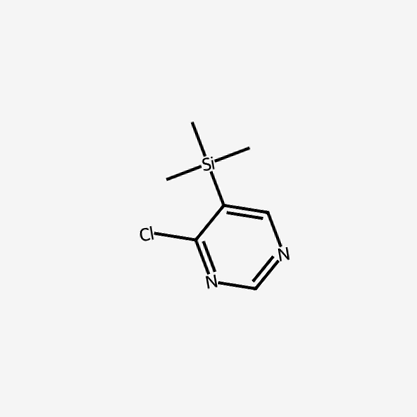 C[Si](C)(C)c1cncnc1Cl